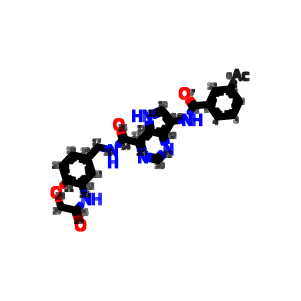 CC(=O)c1cccc(C(=O)Nc2c[nH]c3c(C(=O)NCc4ccc5c(c4)NC(=O)CO5)ncnc23)c1